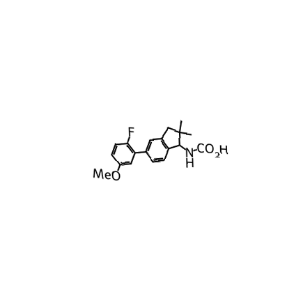 COc1ccc(F)c(-c2ccc3c(c2)CC(C)(C)C3NC(=O)O)c1